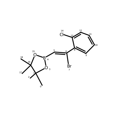 CC1(C)OB(C=C(Br)c2ccccc2Cl)OC1(C)C